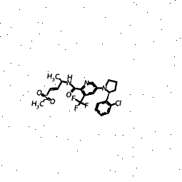 C[C@H](/C=C/S(C)(=O)=O)NC(=O)c1ncc(N2CCC[C@H]2c2ccccc2Cl)cc1C(F)(F)F